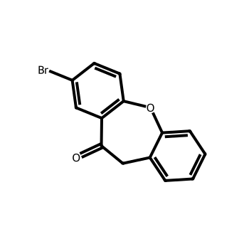 O=C1Cc2ccccc2Oc2ccc(Br)cc21